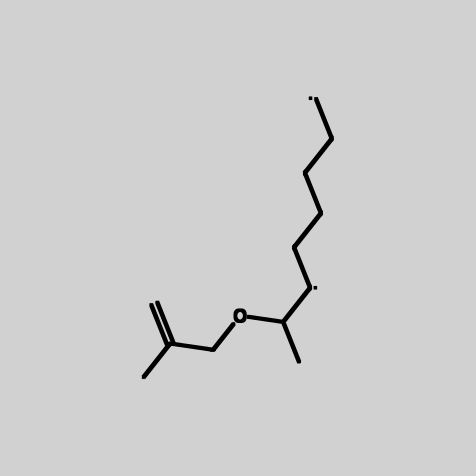 [CH2]CCCC[CH]C(C)OCC(=C)C